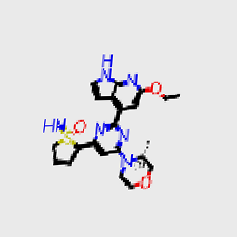 CCOc1cc(-c2nc(C3CCCS3(=N)=O)cc(N3CCOC[C@H]3C)n2)c2cc[nH]c2n1